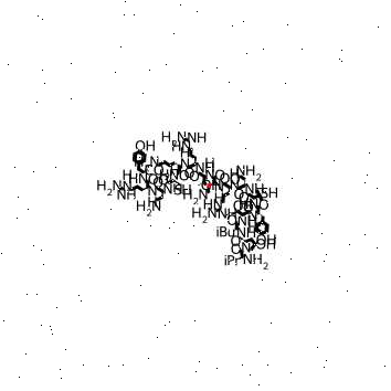 CC[C@H](C)[C@H](NC(=O)[C@@H]1C[C@@H](O)CN1C(=O)[C@@H](N)C(C)C)C(=O)N[C@H](C(=O)N[C@@H](Cc1ccc(O)cc1)C(=O)N[C@H](C(=O)N[C@@H](CC(N)=O)C(=O)N[C@@H](CCCNC(=N)N)C(=O)N[C@@H](CCN)C(=O)N[C@H](C(=O)N[C@H](CCCNC(=N)N)C(=O)N[C@@H](CCCCN)C(=O)N[C@@H](CS)C(=O)N[C@@H](CCN)C(=O)N[C@@H](CCCNC(=N)N)C(=O)N[C@@H](Cc1ccc(O)cc1)C(=O)O)[C@@H](C)O)C(C)(C)S)[C@@H](C)O